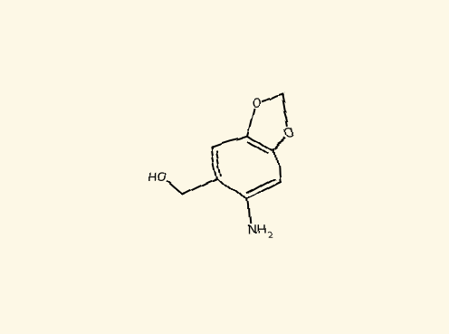 Nc1cc2c(cc1CO)OCO2